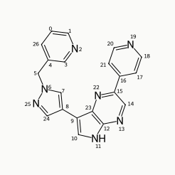 c1cncc(Cn2cc(-c3c[nH]c4ncc(-c5ccncc5)nc34)cn2)c1